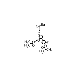 C=C(C)C(=O)OCCOc1cc(OCCOC(=O)C(C)(C)C)ccc1-c1ccc(OC(=O)C(=C)C)c(F)c1